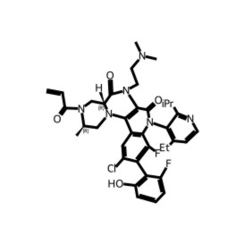 C=CC(=O)N1C[C@@H]2C(=O)N(CCN(C)C)c3c(c4cc(Cl)c(-c5c(O)cccc5F)c(F)c4n(-c4c(CC)ccnc4C(C)C)c3=O)N2C[C@H]1C